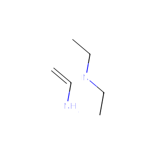 C=CN.CCNCC